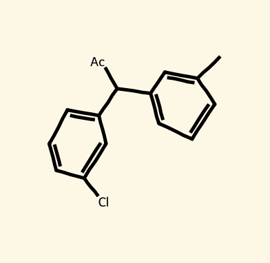 CC(=O)C(c1cccc(C)c1)c1cccc(Cl)c1